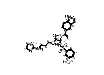 C[C@](NC(=O)c1ccc2[nH]ncc2c1)(NS(=O)(=O)c1ccccc1)C(=O)OCCCNC1=NCCN1.Cl